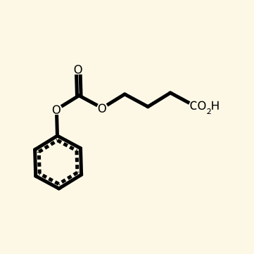 O=C(O)CCCOC(=O)Oc1ccccc1